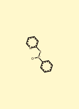 [O-][S+](Sc1ccccn1)c1ccccc1